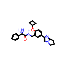 NC(C(=O)NCc1cc(-c2cn3c(n2)CCC3)ccc1OC1CCC1)c1ccccc1